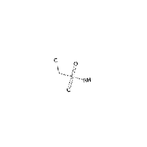 [NH]S(=O)(=O)CCl